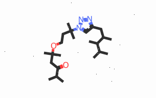 CC(C)C(=O)CC(C)(C)OCCC(C)(C)n1cc(CC(C)C(C)C(C)C)nn1